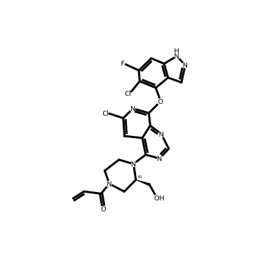 C=CC(=O)N1CCN(c2ncnc3c(Oc4c(Cl)c(F)cc5[nH]ncc45)nc(Cl)cc23)[C@@H](CO)C1